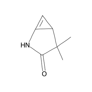 CC1(C)C(=O)NC2=CC21